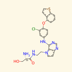 N[C@@H](CO)C(=O)NCCn1ccc2ncnc(Nc3ccc(Oc4cccc5sccc45)c(Cl)c3)c21